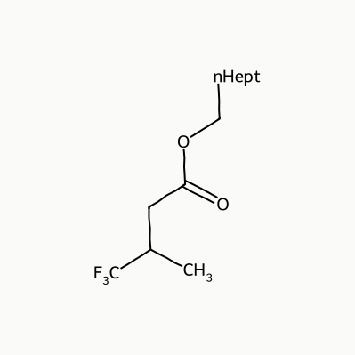 CCCCCCCCOC(=O)CC(C)C(F)(F)F